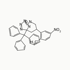 Cc1ccc([N+](=O)[O-])cc1C(C[N+](=O)[O-])CC1(C(c2ccccc2)(c2ccccc2)c2ccccc2)N=NN=N1